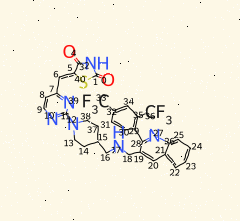 O=C1NC(=O)C(=Cc2ccnc(N3CCC(CNCc4cc5ccccc5nc4-c4ccc(C(F)(F)F)cc4C(F)(F)F)CC3)n2)S1